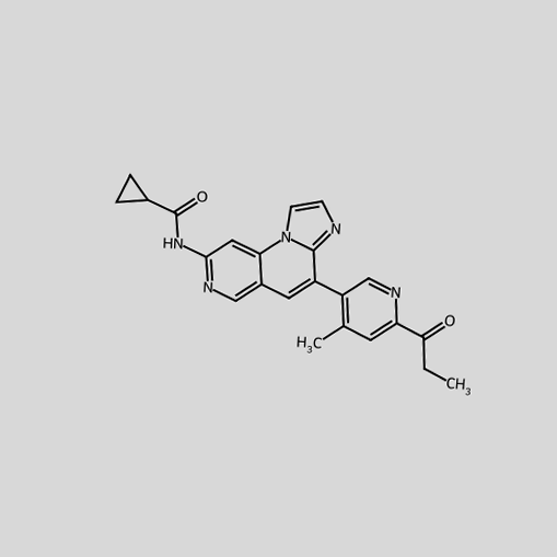 CCC(=O)c1cc(C)c(-c2cc3cnc(NC(=O)C4CC4)cc3n3ccnc23)cn1